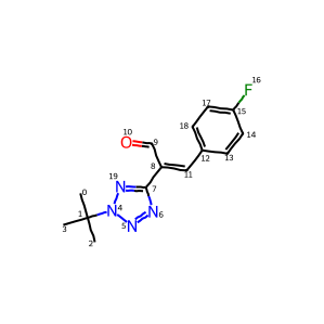 CC(C)(C)n1nnc(C(C=O)=Cc2ccc(F)cc2)n1